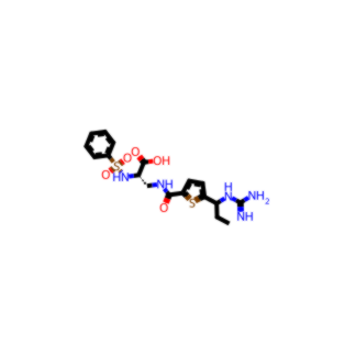 CCC(NC(=N)N)c1ccc(C(=O)NC[C@H](NS(=O)(=O)c2ccccc2)C(=O)O)s1